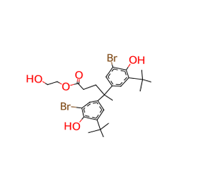 CC(C)(C)c1cc(C(C)(CCC(=O)OCCO)c2cc(Br)c(O)c(C(C)(C)C)c2)cc(Br)c1O